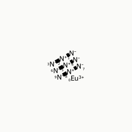 [Eu+3].[N-]=[N+]=[N-].[N-]=[N+]=[N-].[N-]=[N+]=[N-]